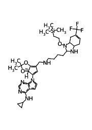 CC1(C)OC2=C(CNCCCCC3NC4CC=C(C(F)(F)F)CC4N3OCC[Si](C)(C)C)C=C(n3ccc4c(NC5CC5)ncnc43)[C@@H]2O1